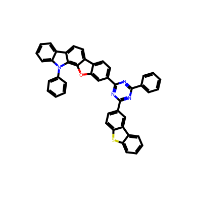 c1ccc(-c2nc(-c3ccc4c(c3)oc3c4ccc4c5ccccc5n(-c5ccccc5)c43)nc(-c3ccc4sc5ccccc5c4c3)n2)cc1